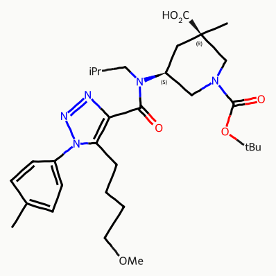 COCCCCc1c(C(=O)N(CC(C)C)[C@@H]2CN(C(=O)OC(C)(C)C)C[C@](C)(C(=O)O)C2)nnn1-c1ccc(C)cc1